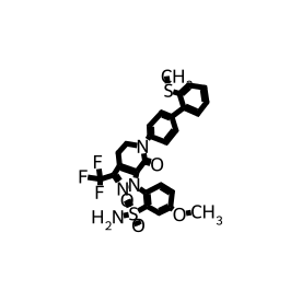 COc1ccc(-n2nc(C(F)(F)F)c3c2C(=O)N(c2ccc(-c4ccccc4SC)cc2)CC3)c(S(N)(=O)=O)c1